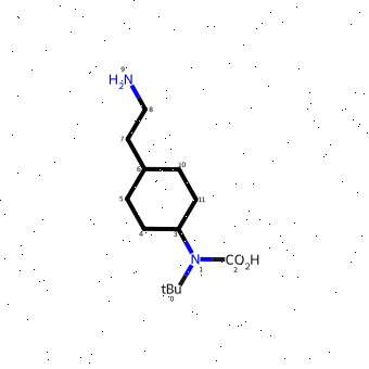 CC(C)(C)N(C(=O)O)C1CCC(CCN)CC1